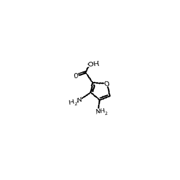 Nc1coc(C(=O)O)c1N